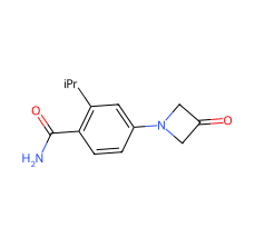 CC(C)c1cc(N2CC(=O)C2)ccc1C(N)=O